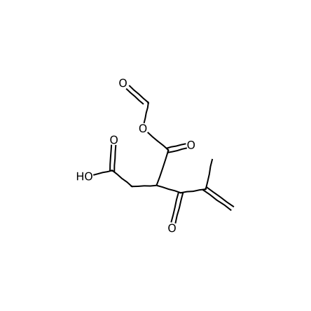 C=C(C)C(=O)C(CC(=O)O)C(=O)OC=O